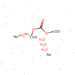 O.O.O.O.O.O=C([O-])OC(=O)OC(=O)[O-].[Na+].[Na+]